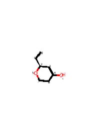 CC[C@H]1CC(O)CCO1